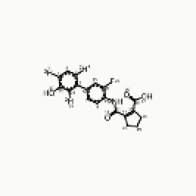 [2H]c1cc([2H])c(-c2ccc(NC(=O)C3=C(C(=O)O)CCC3)c(F)c2)c([2H])c1O